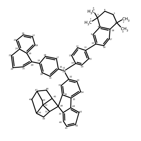 CC1(C)CCC(C)(C)c2cc(-c3ccc(N(c4ccc(-c5cccc6ccccc56)cc4)c4ccc5c(c4)C4(c6ccccc6-5)C5CC6CC7CC4C75C6)cc3)ccc21